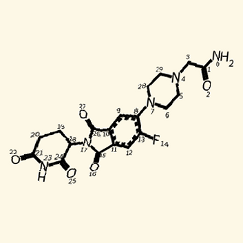 NC(=O)CN1CCN(c2cc3c(cc2F)C(=O)N(C2CCC(=O)NC2=O)C3=O)CC1